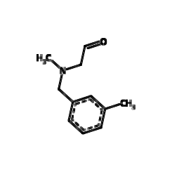 Cc1cccc(CN(C)CC=O)c1